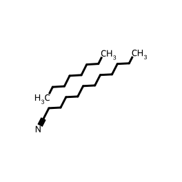 CCCCCCCC.CCCCCCCCCCCC#N